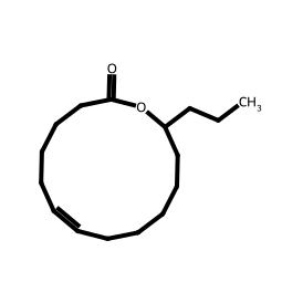 CCCC1CCCCCC=CCCCCC(=O)O1